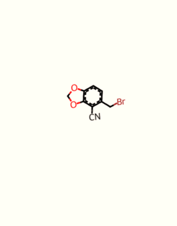 N#Cc1c(CBr)ccc2c1OCO2